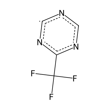 FC(F)(F)c1n[c]ncn1